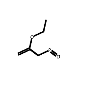 C=C(CP=O)OCC